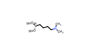 CO[SiH](CCCCN(C)C)OC